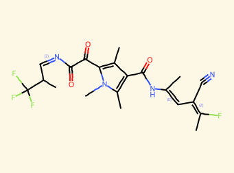 C/C(F)=C(C#N)\C=C(/C)NC(=O)c1c(C)c(C(=O)C(=O)/N=C\C(C)C(F)(F)F)n(C)c1C